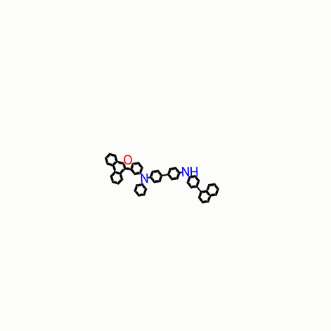 c1ccc(N(c2ccc(-c3ccc(Nc4ccc(-c5cccc6ccccc56)cc4)cc3)cc2)c2ccc3oc4c5ccccc5c5ccccc5c4c3c2)cc1